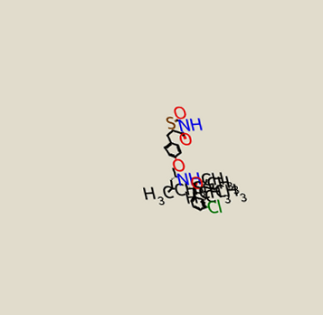 CC(C)C[C@H](COc1ccc(CC2SC(=O)NC2=O)cc1)NC[C@H](O[Si](C)(C)C(C)(C)C)c1cccc(Cl)c1